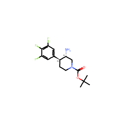 CC(C)(C)OC(=O)N1CC[C@@H](c2cc(F)c(F)c(F)c2)[C@H](N)C1